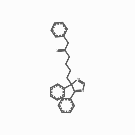 O=C(CCCCC1(c2ccccc2)[N+]=CN=C1c1ccccc1)Cc1ccccc1